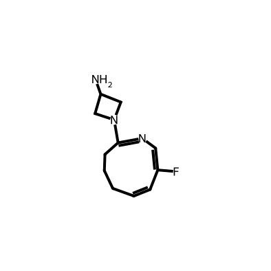 NC1CN(/C2=N/C=C(F)\C=C/CCC2)C1